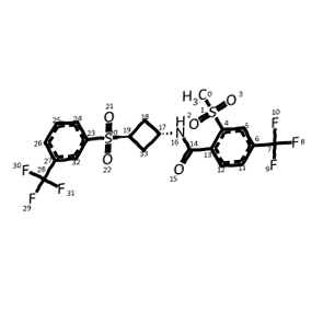 CS(=O)(=O)c1cc(C(F)(F)F)ccc1C(=O)N[C@H]1C[C@H](S(=O)(=O)c2cccc(C(F)(F)F)c2)C1